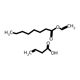 C=CCC(=O)O.C=COC(=O)CCCCCCC